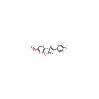 COc1ccc2c(c1)oc1nc(-c3ccc(F)cn3)cn12